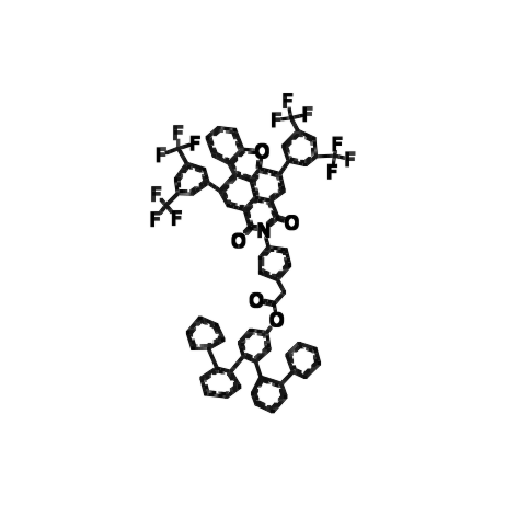 O=C(Cc1ccc(-n2c(=O)c3cc(-c4cc(C(F)(F)F)cc(C(F)(F)F)c4)c4oc5ccccc5c5c(-c6cc(C(F)(F)F)cc(C(F)(F)F)c6)cc(c2=O)c3c45)cc1)Oc1ccc(-c2ccccc2-c2ccccc2)c(-c2ccccc2-c2ccccc2)c1